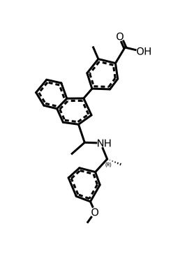 COc1cccc([C@@H](C)NC(C)c2cc(-c3ccc(C(=O)O)c(C)c3)c3ccccc3c2)c1